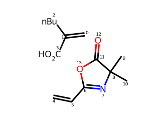 C=C(CCCC)C(=O)O.C=CC1=NC(C)(C)C(=O)O1